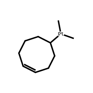 [CH3][Pt]([CH3])[CH]1CCC=CCCC1